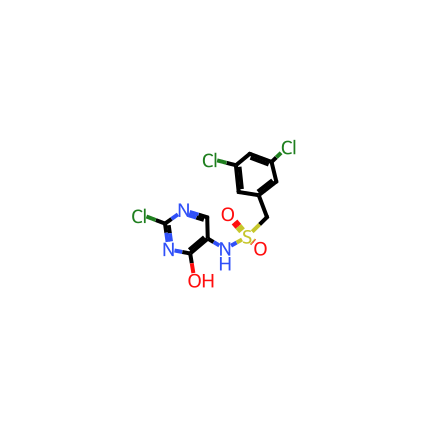 O=S(=O)(Cc1cc(Cl)cc(Cl)c1)Nc1cnc(Cl)nc1O